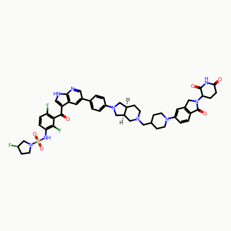 O=C1CCC(N2Cc3cc(N4CCC(CN5CC[C@@H]6CN(c7ccc(-c8cnc9[nH]cc(C(=O)c%10c(F)ccc(NS(=O)(=O)N%11CC[C@@H](F)C%11)c%10F)c9c8)cc7)C[C@@H]6C5)CC4)ccc3C2=O)C(=O)N1